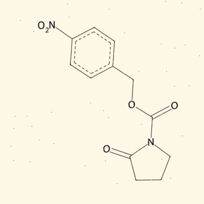 O=C1CCCN1C(=O)OCc1ccc([N+](=O)[O-])cc1